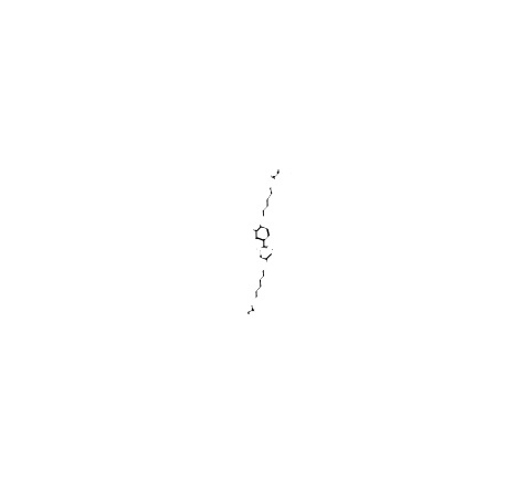 C=CC(=O)OCCCCCCOc1cnc(-c2ccc(OCCCCCCOC(=O)C=C)c(F)c2F)nc1